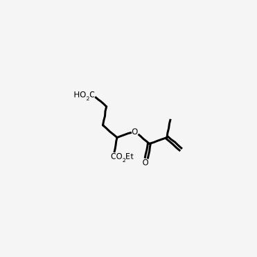 C=C(C)C(=O)OC(CCC(=O)O)C(=O)OCC